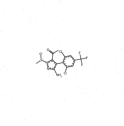 CC(=O)c1c(-c2c(Cl)cc(C(F)(F)F)cc2Cl)c(N)nn1[S+](C)[O-]